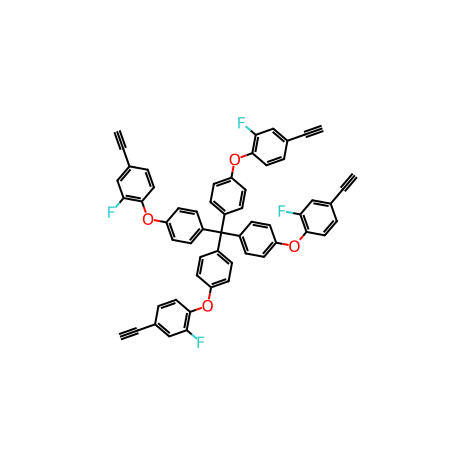 C#Cc1ccc(Oc2ccc(C(c3ccc(Oc4ccc(C#C)cc4F)cc3)(c3ccc(Oc4ccc(C#C)cc4F)cc3)c3ccc(Oc4ccc(C#C)cc4F)cc3)cc2)c(F)c1